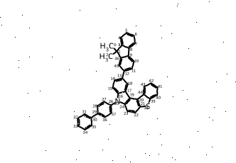 CC1(C)c2ccccc2-c2ccc(-c3ccc4c(c3)c3c5c(ccc3n4-c3ccc(-c4ccccc4)cc3)sc3ccccc35)cc21